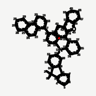 CC1(C)c2ccccc2-c2cc(N(c3ccc(-c4cccc5c4ccc4ccccc45)cc3)c3ccccc3-c3cccc4c3oc3ccccc34)ccc21